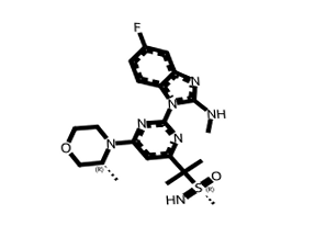 CNc1nc2cc(F)ccc2n1-c1nc(N2CCOC[C@H]2C)cc(C(C)(C)[S@](C)(=N)=O)n1